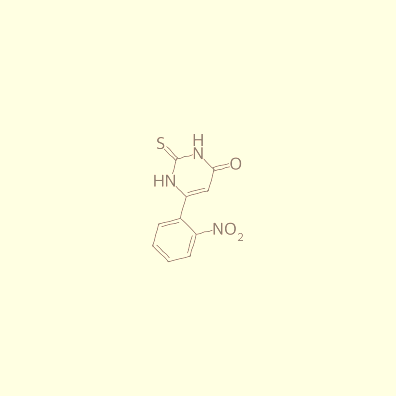 O=c1cc(-c2ccccc2[N+](=O)[O-])[nH]c(=S)[nH]1